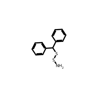 NSSC(c1ccccc1)c1ccccc1